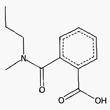 CCCN(C)C(=O)c1ccccc1C(=O)O